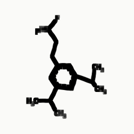 CC(C)c1cc(CC[SiH](F)F)cc(C(C)C)c1